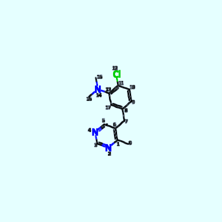 Cc1ncn[c]c1Cc1ccc(Cl)c(N(C)C)c1